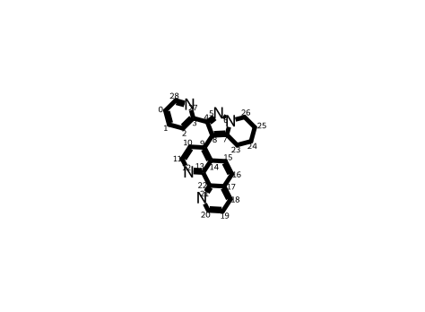 c1ccc(-c2nn3c(c2-c2ccnc4c2ccc2cccnc24)CCCC3)nc1